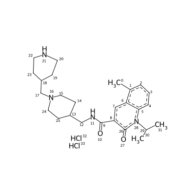 Cc1cccc2c1cc(C(=O)NCC1CCN(CC3CCNCC3)CC1)c(=O)n2C(C)C.Cl.Cl